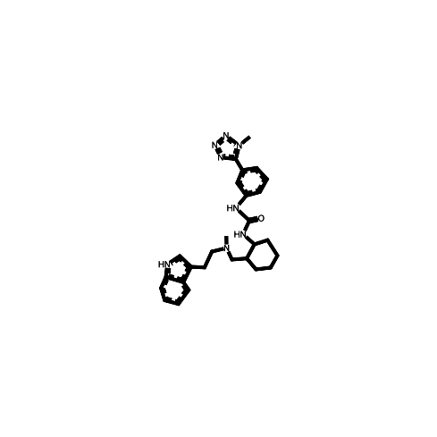 CN(CCc1c[nH]c2ccccc12)CC1CCCCC1NC(=O)Nc1cccc(-c2nnnn2C)c1